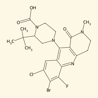 CN1CCc2nc3c(F)c(Br)c(Cl)cc3c(N3CCN(C(=O)O)C(C(C)(C)C)C3)c2C1=O